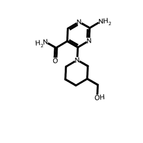 NC(=O)c1cnc(N)nc1N1CCCC(CO)C1